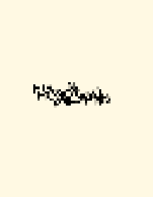 C=CC(=O)Nc1cc2c(Oc3ccc(C(=O)Nc4ccccn4)cc3)ccnc2cc1OCC(O)CO